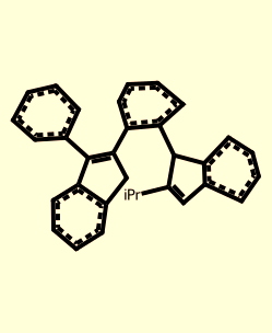 CC(C)C1=Cc2ccccc2C1c1ccccc1C1=C(c2ccccc2)c2ccccc2C1